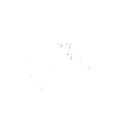 O=Cc1ccccc1-c1ccc2c(c1)nnn2-c1ccc(F)cc1